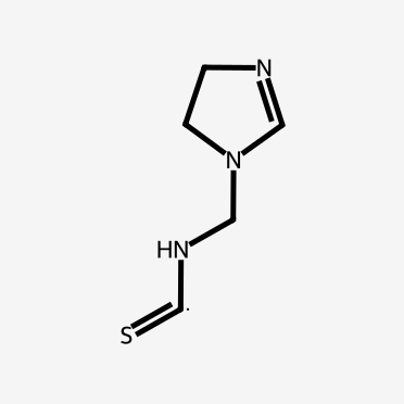 S=[C]NCN1C=NCC1